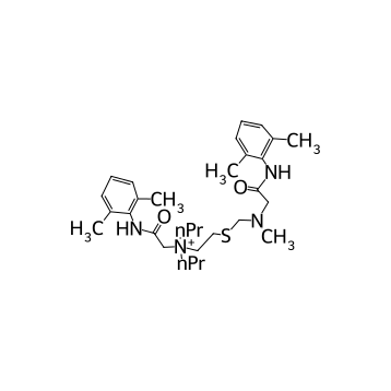 CCC[N+](CCC)(CCSCN(C)CC(=O)Nc1c(C)cccc1C)CC(=O)Nc1c(C)cccc1C